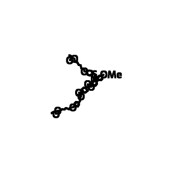 C=CC(=O)OCCCCCCOc1ccc(CCOC(=O)C2CCC(C(=O)Oc3ccc4c(c3)nc(SC3CCC(OCCCCCCOC(=O)C=C)CC3)c3cc(OC)ccc34)CC2)cc1